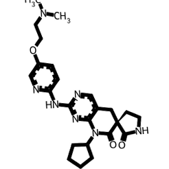 CN(C)CCOc1ccc(Nc2ncc3c(n2)N(C2CCCC2)C(=O)[C@]2(CCNC2=O)C3)nc1